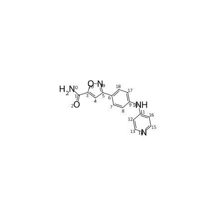 NC(=O)c1cc(-c2ccc(Nc3ccncc3)cc2)no1